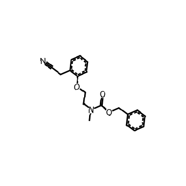 CN(CCOc1ccccc1CC#N)C(=O)OCc1ccccc1